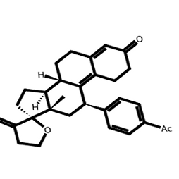 C=C1CCO[C@@]12CC[C@H]1[C@@H]3CCC4=CC(=O)CCC4=C3[C@@H](c3ccc(C(C)=O)cc3)C[C@@]12C